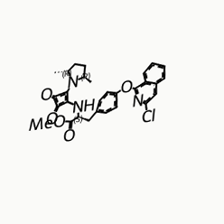 COC(=O)[C@H](Cc1ccc(Oc2nc(Cl)cc3ccccc23)cc1)Nc1c(N2[C@H](C)CC[C@H]2C)c(=O)c1=O